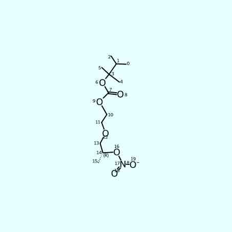 CC(C)C(C)(C)OC(=O)OCCOC[C@@H](C)O[N+](=O)[O-]